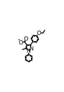 CCOc1ccc(-c2nn(-c3ccccc3)c(C)c2C(=O)OC)cc1